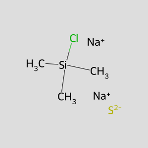 C[Si](C)(C)Cl.[Na+].[Na+].[S-2]